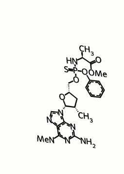 CNc1nc(N)nc2c1ncn2[C@@H]1O[C@H](CO[P@@](=S)(N[C@@H](C)C(=O)OC)Oc2ccccc2)C[C@@H]1C